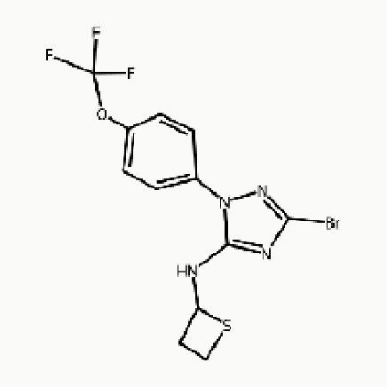 FC(F)(F)Oc1ccc(-n2nc(Br)nc2NC2CCS2)cc1